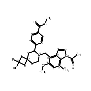 COC(=O)c1ccc(C2CC3(CCN2Cc2c(OC)cc(C)c4c2ccn4C(=O)O)CC(F)(F)C3)cc1